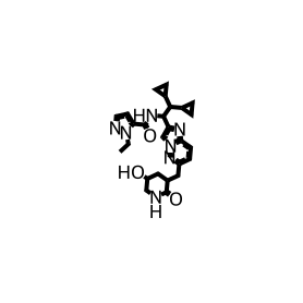 CCn1nccc1C(=O)NC(c1cn2nc(CC3CC(O)CNC3=O)ccc2n1)C(C1CC1)C1CC1